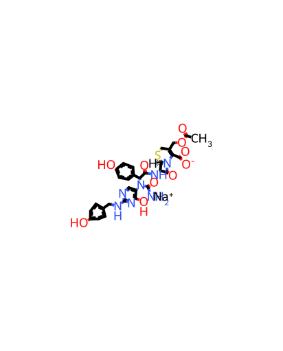 CC(=O)OCC1=C(C(=O)[O-])N2C(=O)C(NC(=O)C(c3ccc(O)cc3)N(C(N)=O)c3cnc(NCc4ccc(O)cc4)nc3O)[C@@H]2SC1.[Na+]